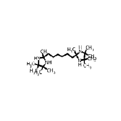 CC1(CCCCCCC2(C)NC(C)(C)C(C)(C)N2)NC(C)(C)C(C)(C)N1